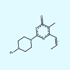 C/C=C\c1nc(N2CCN(C(C)C)CC2)sc(=O)c1C